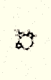 NC1=NC2=NC(N1)Sc1cccc(c1)OCCCCOc1cc2c(Cl)cc1Cl